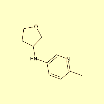 Cc1ccc(NC2CCOC2)cn1